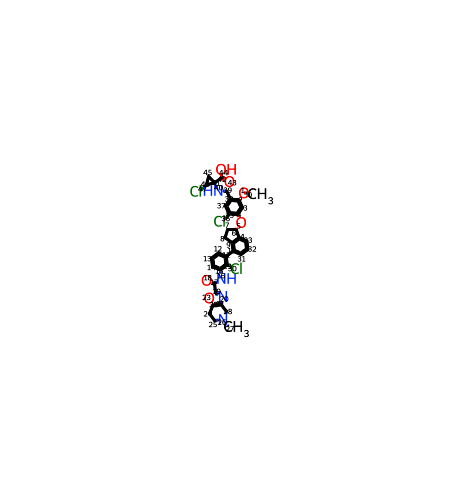 COc1cc(OC2CCc3c(-c4cccc(NC(=O)c5nc6c(o5)CCN(C)C6)c4Cl)cccc32)c(Cl)cc1CNC1(C(=O)O)CC1Cl